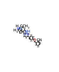 CC1(C)CC(Nc2nccc(-c3ccc(OCc4ccccc4C#N)cc3)n2)CC(C)(C)N1